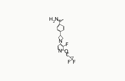 C[C@H](N)c1ccc(C2CN(c3ccnc(OCC4CC4(F)F)c3F)C2)cc1